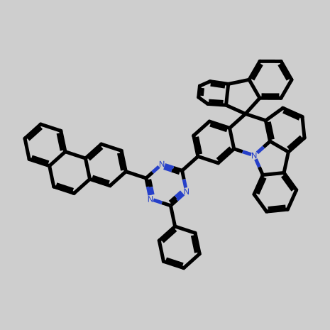 c1ccc(-c2nc(-c3ccc4c(c3)-n3c5ccccc5c5cccc(c53)C43c4ccccc4-c4ccccc43)nc(-c3ccc4c(ccc5ccccc54)c3)n2)cc1